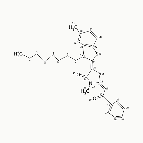 CCCCCCCCN1/C(=c2/s/c(=C/C(=O)c3ccccc3)n(C)c2=O)Sc2ccc(C)cc21